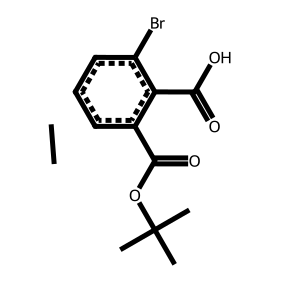 CC.CC(C)(C)OC(=O)c1cccc(Br)c1C(=O)O